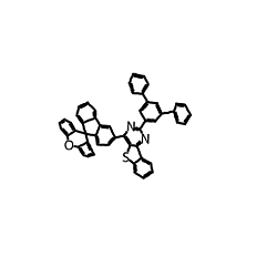 c1ccc(-c2cc(-c3ccccc3)cc(-c3nc(-c4ccc5c(c4)-c4ccccc4C54c5ccccc5Oc5ccccc54)c4sc5ccccc5c4n3)c2)cc1